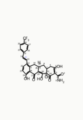 NC(=O)C1=C(O)CC2C[C@@H]3Cc4c(/C=C/c5ccc(C(F)(F)F)cc5)ccc(O)c4C(=O)C3=C(O)[C@]2(O)C1=O